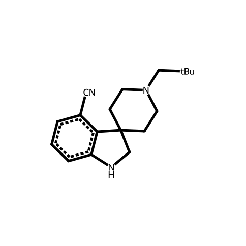 CC(C)(C)CN1CCC2(CC1)CNc1cccc(C#N)c12